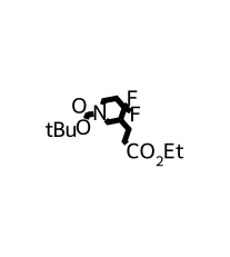 CCOC(=O)CCC1CN(C(=O)OC(C)(C)C)CCC1(F)F